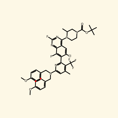 COc1ccc(CN(Cc2ccc(OC)cc2)c2cc(C)c(C(F)(F)F)c(-c3c(Cl)cc4c(N5CCN(C(=O)OC(C)(C)C)CC5C)nc(F)nc4c3F)n2)cc1